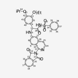 CCOc1cc(C(Nc2ccc3c(N4C(=O)c5ccccc5C4=O)nccc3c2)C(=O)NS(=O)(=O)c2ccccc2)ccc1OC(C)C